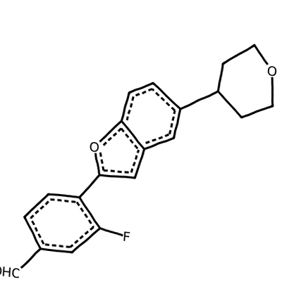 O=Cc1ccc(-c2cc3cc(C4CCOCC4)ccc3o2)c(F)c1